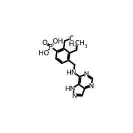 CCc1c(CNc2ncnc3cn[nH]c23)ccc(P(=O)(O)O)c1CC